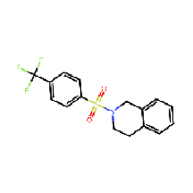 O=S(=O)(c1ccc(C(F)(F)F)cc1)N1CCc2c[c]ccc2C1